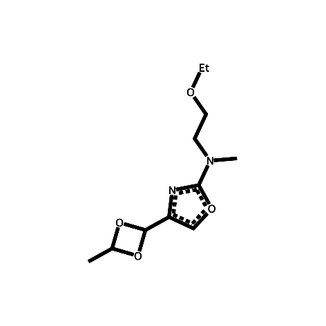 CCOCCN(C)c1nc(C2OC(C)O2)co1